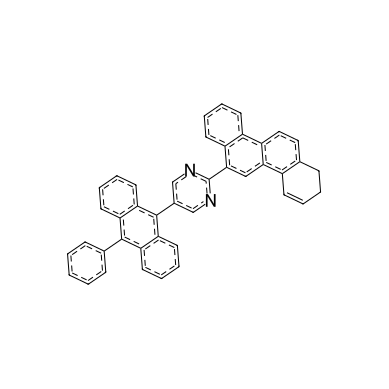 C1=Cc2c(ccc3c2cc(-c2ncc(-c4c5ccccc5c(-c5ccccc5)c5ccccc45)cn2)c2ccccc23)CC1